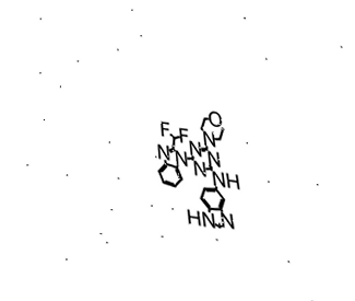 FC(F)c1nc2ccccc2n1-c1nc(Nc2ccc3[nH]cnc3c2)nc(N2CCOCC2)n1